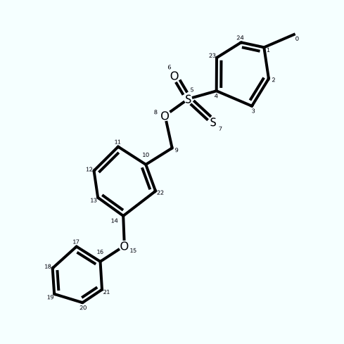 Cc1ccc(S(=O)(=S)OCc2cccc(Oc3ccccc3)c2)cc1